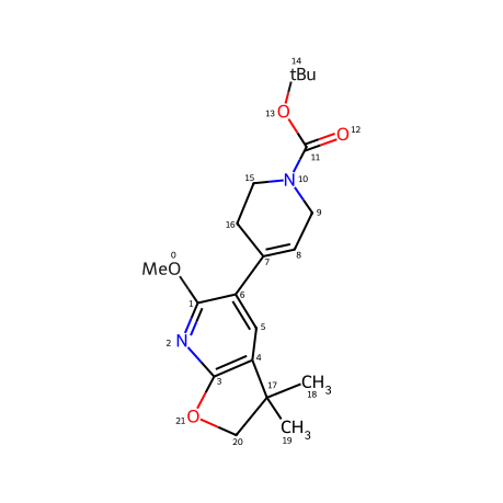 COc1nc2c(cc1C1=CCN(C(=O)OC(C)(C)C)CC1)C(C)(C)CO2